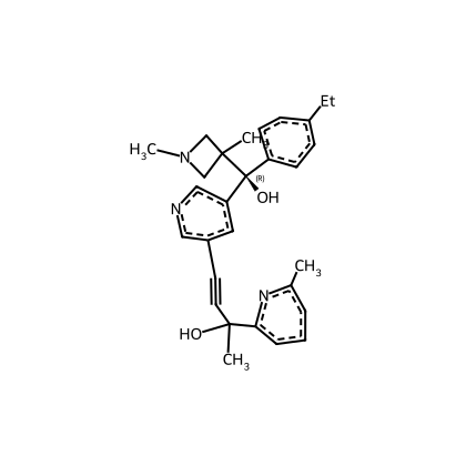 CCc1ccc([C@](O)(c2cncc(C#CC(C)(O)c3cccc(C)n3)c2)C2(C)CN(C)C2)cc1